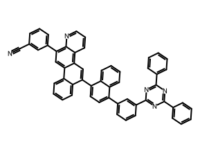 N#Cc1cccc(-c2cc3c4ccccc4c(-c4ccc(-c5cccc(-c6nc(-c7ccccc7)nc(-c7ccccc7)n6)c5)c5ccccc45)cc3c3cccnc23)c1